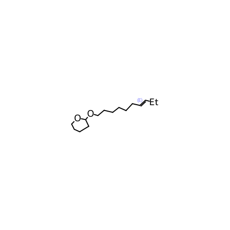 CC/C=C/CCCCCCOC1CCCCO1